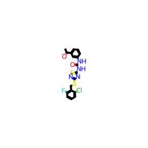 CC(=O)c1cccc(NC(=O)Nc2nc(SCc3c(F)cccc3Cl)ns2)c1